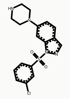 O=S(=O)(c1cccc(Cl)c1)n1ncc2ccc(N3CCNCC3)cc21